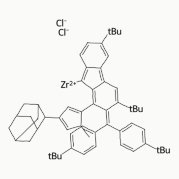 CC1C=C(C2C3CC4CC(C3)CC2C4)C=C1c1c2c(cc(C(C)(C)C)c1=C(c1ccc(C(C)(C)C)cc1)c1ccc(C(C)(C)C)cc1)=c1cc(C(C)(C)C)ccc1=[C]2[Zr+2].[Cl-].[Cl-]